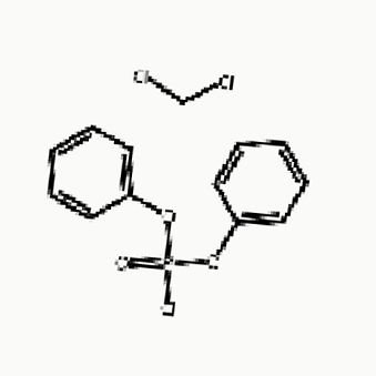 ClCCl.O=P(Cl)(Oc1ccccc1)Oc1ccccc1